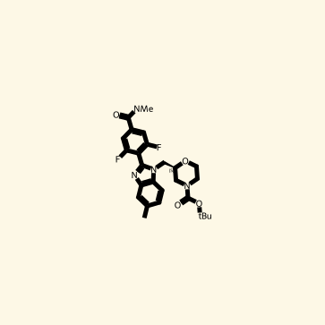 CNC(=O)c1cc(F)c(-c2nc3cc(C)ccc3n2C[C@@H]2CN(C(=O)OC(C)(C)C)CCO2)c(F)c1